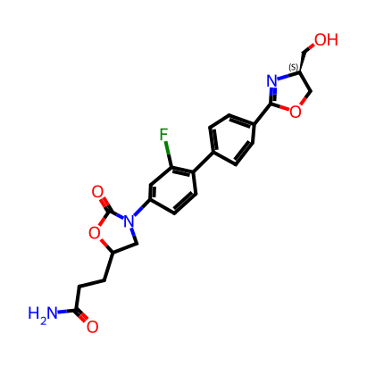 NC(=O)CCC1CN(c2ccc(-c3ccc(C4=N[C@@H](CO)CO4)cc3)c(F)c2)C(=O)O1